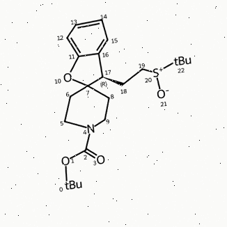 CC(C)(C)OC(=O)N1CCC2(CC1)Oc1ccccc1[C@H]2CC[S+]([O-])C(C)(C)C